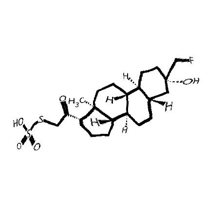 C[C@]12CC[C@H]3[C@@H](CC[C@H]4C[C@](O)(CF)CC[C@@H]43)[C@@H]1CC[C@@H]2C(=O)CSS(=O)(=O)O